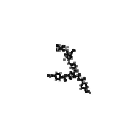 CC[Si](CC)(CC)O[C@H](C)C1C(=O)N2C=C(CN3CC[C@H](NC(=NC(=O)OC(=O)c4ccc([N+](=O)[O-])cc4)NC(=O)OC(=O)c4ccc([N+](=O)[O-])cc4)C3)[C@H](C)[C@H]12